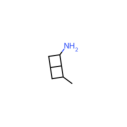 CC1CC2CC(N)C12